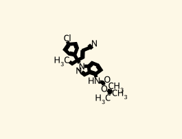 CCC(/C=C/C#N)(c1ccc(Cl)cc1)n1ncc2c(NC(=O)OC(C)(C)C)cccc21